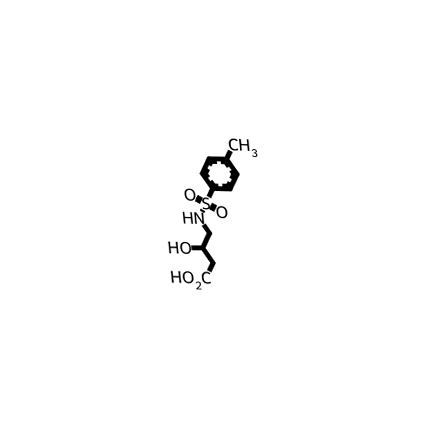 Cc1ccc(S(=O)(=O)NCC(O)CC(=O)O)cc1